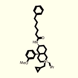 COc1cccc([C@]23CC[N@+](CC(C)C)(CC4CC4)CC2CC[C@@H](NC(=O)CCCCCc2ccccc2)C3)c1